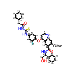 COc1cc2nccc(Oc3ccc(NC(=S)NC(=O)Cc4ccccc4)cc3F)c2cc1C(=O)NC(CO)c1ccccc1